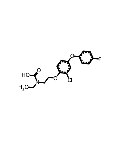 CCN(CCOc1ccc(Oc2ccc(F)cc2)cc1Cl)C(=O)O